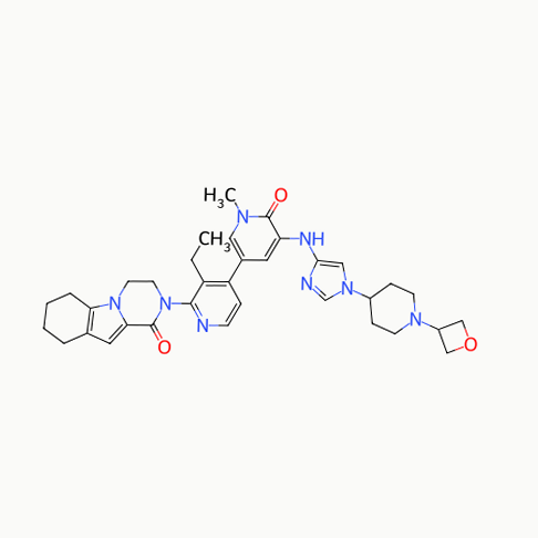 CCc1c(-c2cc(Nc3cn(C4CCN(C5COC5)CC4)cn3)c(=O)n(C)c2)ccnc1N1CCn2c(cc3c2CCCC3)C1=O